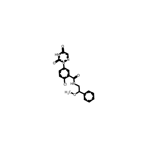 COC(CNC(=O)c1cc(-n2ncc(=O)[nH]c2=O)ccc1Cl)c1ccccc1